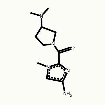 CN(C)C1CCN(C(=O)c2nc(N)cn2C)C1